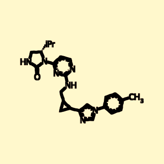 Cc1ccc(-n2cnc(C3CC3CNc3nccc(N4C(=O)NC[C@@H]4C(C)C)n3)c2)cc1